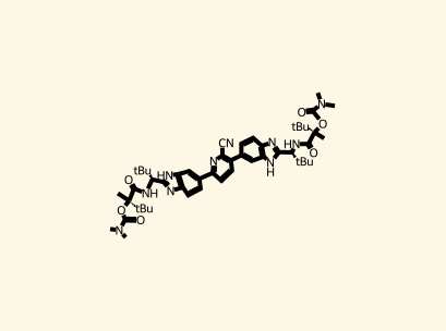 CN(C)C(=O)O[C@@](C)(C(=O)N[C@H](c1nc2ccc(-c3ccc(-c4ccc5nc([C@@H](NC(=O)[C@](C)(OC(=O)N(C)C)C(C)(C)C)C(C)(C)C)[nH]c5c4)c(C#N)n3)cc2[nH]1)C(C)(C)C)C(C)(C)C